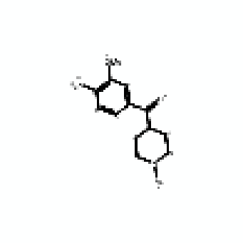 COc1cc(C(=O)C2CCN(C(C)=O)CC2)ccc1N